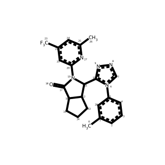 Cc1cccc(-n2cnnc2C2C3CCCC3C(=O)N2c2cc(C(F)(F)F)cc(C)n2)c1